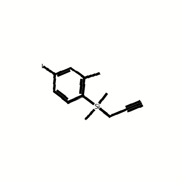 C#CC[Si](C)(C)c1ccc(I)cc1C